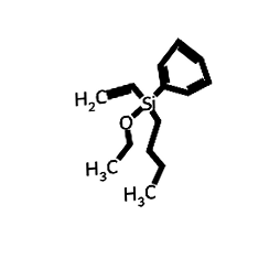 C=C[Si](CCCC)(OCC)c1ccccc1